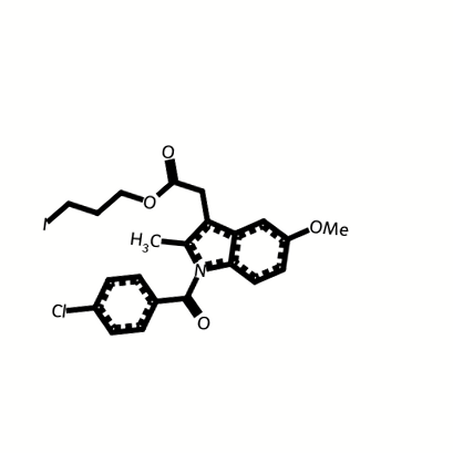 COc1ccc2c(c1)c(CC(=O)OCCCI)c(C)n2C(=O)c1ccc(Cl)cc1